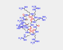 CC(=O)NCC(=O)N[C@H](CCCNC(=N)N)C(=O)N[C@H](CCCNC(=N)N)C(=O)N[C@H](CCCNC(=N)N)C(=O)N[C@H](CCCNC(=N)N)C(=O)N[C@H](CCCNC(=N)N)C(=O)N[C@H](CCCNC(=N)N)C(=O)N[C@H](CCCNC(=N)N)C(=O)N[C@H](CCCCC(=N)N)C(=O)N[C@H](CS)C(N)=O